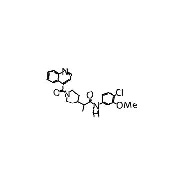 COc1cc(NC(=O)C(C)C2CCN(C(=O)c3ccnc4ccccc34)CC2)ccc1Cl